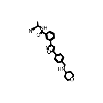 CC(C#N)NC(=O)c1cccc(-c2cc(-c3ccc(CNC4CCOCC4)cc3)on2)c1